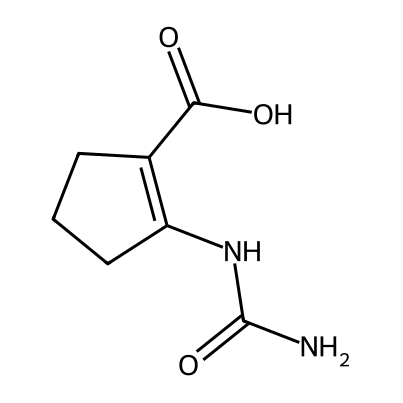 NC(=O)NC1=C(C(=O)O)CCC1